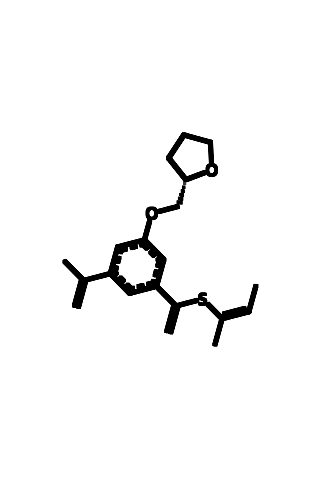 C=C(C)c1cc(OC[C@@H]2CCCO2)cc(C(=C)S/C(C)=C\C)c1